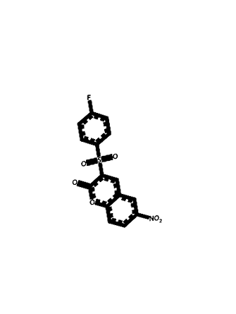 O=c1oc2ccc([N+](=O)[O-])cc2cc1S(=O)(=O)c1ccc(F)cc1